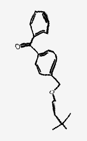 CC(C)(C)CCOCc1ccc(C(=O)c2ccccc2)cc1